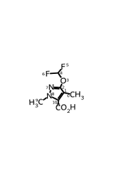 Cc1c(OC(F)F)nn(C)c1C(=O)O